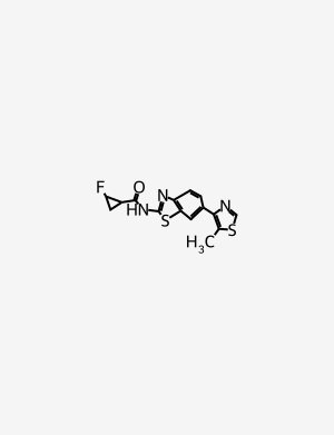 Cc1scnc1-c1ccc2nc(NC(=O)C3CC3F)sc2c1